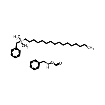 CCCCCCCCCCCCCCCC[N+](C)(C)Cc1ccccc1.O=CONCc1ccccc1